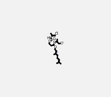 CC(C)=CCC/C(C)=C/COC1CCOP(=O)(NC(C)CCl)N1C(C)CCl